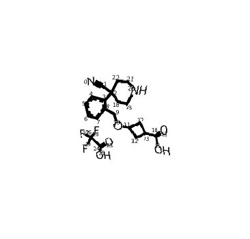 N#CC1(c2ccccc2COC2CC(C(=O)O)C2)CCNCC1.O=C(O)C(F)(F)F